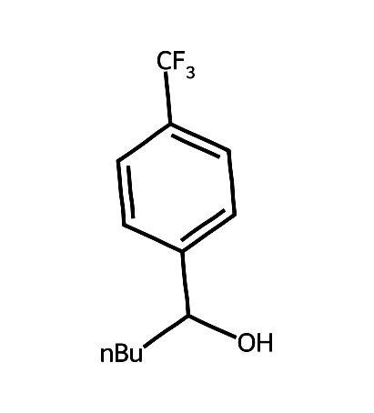 CCCCC(O)c1ccc(C(F)(F)F)cc1